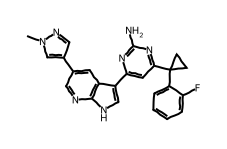 Cn1cc(-c2cnc3[nH]cc(-c4cc(C5(c6ccccc6F)CC5)nc(N)n4)c3c2)cn1